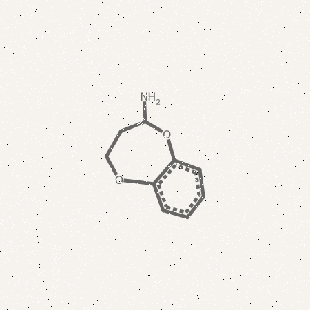 NC1CCOc2ccccc2O1